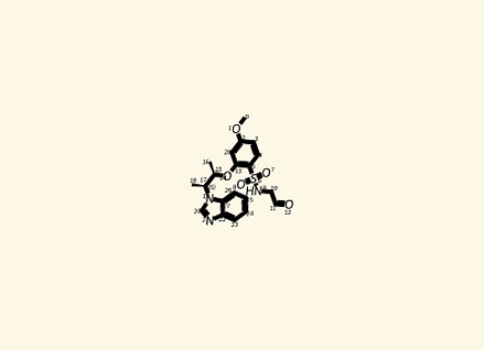 COc1ccc(S(=O)(=O)NCC=O)c(O[C@H](C)[C@H](C)n2cnc3ccccc32)c1